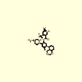 CN1CCN(c2cc(F)c(-c3cccc4c3COCO4)cc2NC(=O)c2c[nH]c(=O)cc2C(F)(F)F)CC1